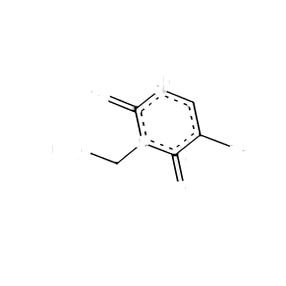 CCOC(=O)Cn1c(=O)[nH]cc(I)c1=O